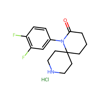 Cl.O=C1CCCC2(CCNCC2)N1c1ccc(F)c(F)c1